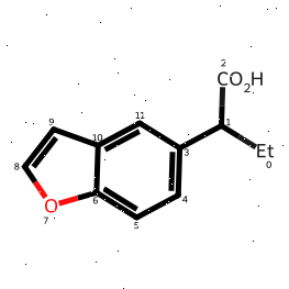 CCC(C(=O)O)c1ccc2occc2c1